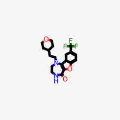 O=C1NCCN(CCC2CCOCC2)C2=C1OC1=CC=C(C(F)(F)F)CC12